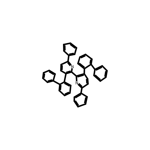 c1ccc(-c2ccc(-c3ccccc3-c3ccccc3)c(-c3nc(-c4ccccc4)ccc3-c3ccccc3-c3ccccc3)n2)cc1